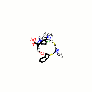 Cc1c2c(nn1C)CSCc1cc(n(C)n1)CSc1cc(c3ccccc3c1)OCCCc1c(C(=O)O)n(C)c3c-2c(Cl)ccc13